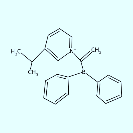 C=C(B(c1ccccc1)c1ccccc1)[n+]1cccc(C(C)C)c1